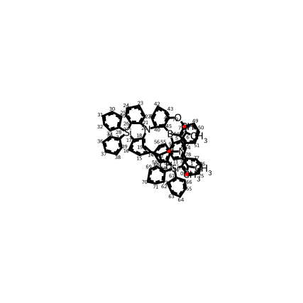 CC(C)c1cc(C(C)C)c2c(c1)C(C)c1ccc3c(c1)N(c1ccccc1[Si]3(c1ccccc1)c1ccccc1)c1cccc3c1B2c1c(cccc1N1c2ccccc2[Si](c2ccccc2)(c2ccccc2)c2ccccc21)O3